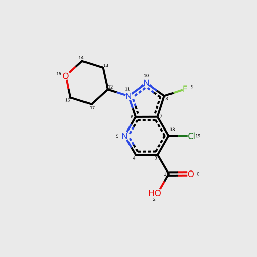 O=C(O)c1cnc2c(c(F)nn2C2CCOCC2)c1Cl